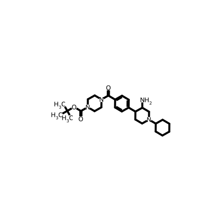 CC(C)(C)OC(=O)N1CCN(C(=O)c2ccc(C3CCN(C4CCCCC4)CC3N)cc2)CC1